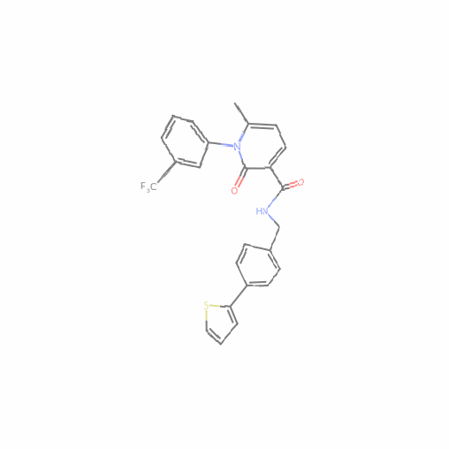 Cc1ccc(C(=O)NCc2ccc(-c3cccs3)cc2)c(=O)n1-c1cccc(C(F)(F)F)c1